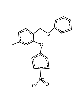 Cc1ccc(CSc2ccccc2)c(Oc2ccc([N+](=O)[O-])cc2)c1